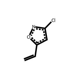 C=Cc1cc(Cl)no1